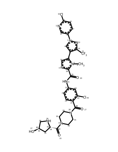 Cn1c(-c2cn(-c3ccc(Cl)nc3)nc2C(F)(F)F)cnc1C(=O)Nc1ccc(C(=O)N2CCN(C(=O)[C@@H]3C[C@@H](O)CN3)CC2)c(Cl)c1